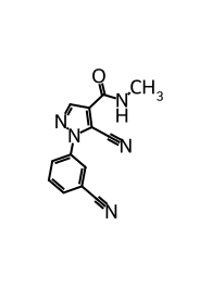 CNC(=O)c1cnn(-c2cccc(C#N)c2)c1C#N